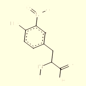 O=C(O)C(Cc1ccc(O)c([N+](=O)[O-])c1)NI